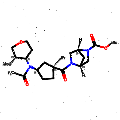 CO[C@@H]1COCC[C@@H]1N(C(=O)C(F)(F)F)[C@@H]1CC[C@@](C(=O)N2C[C@@H]3C[C@H]2CN3C(=O)OC(C)(C)C)(C(C)C)C1